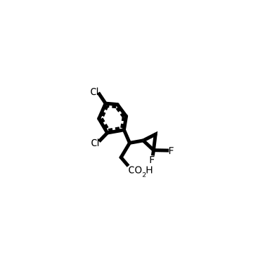 O=C(O)CC(c1ccc(Cl)cc1Cl)C1CC1(F)F